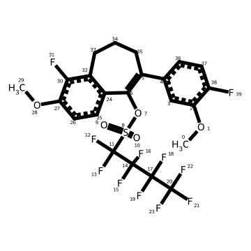 COc1cc(C2=C(OS(=O)(=O)C(F)(F)C(F)(F)C(F)(F)C(F)(F)F)c3ccc(OC)c(F)c3CCC2)ccc1F